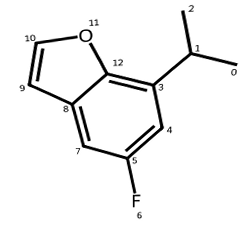 CC(C)c1cc(F)cc2ccoc12